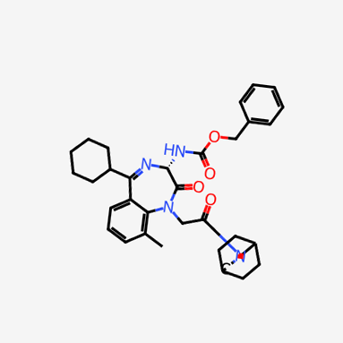 Cc1cccc2c1N(CC(=O)N1CC3CCC(CC3)C1)C(=O)[C@@H](NC(=O)OCc1ccccc1)N=C2C1CCCCC1